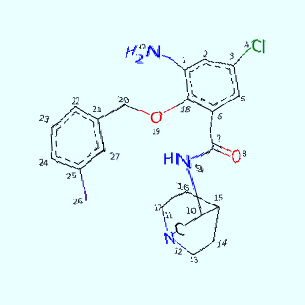 Nc1cc(Cl)cc(C(=O)NC2CN3CCC2CC3)c1OCc1cccc(I)c1